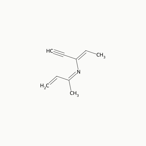 C#CC(=C/C)/N=C(/C)C=C